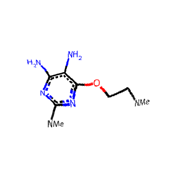 CNCCOc1nc(NC)nc(N)c1N